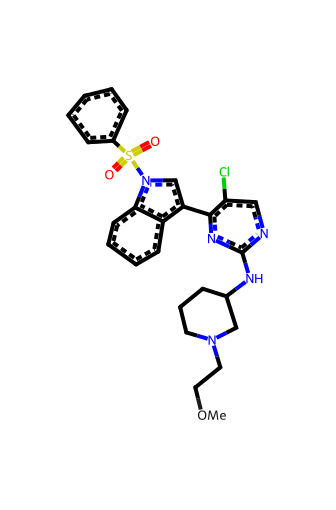 COCCN1CCCC(Nc2ncc(Cl)c(-c3cn(S(=O)(=O)c4ccccc4)c4ccccc34)n2)C1